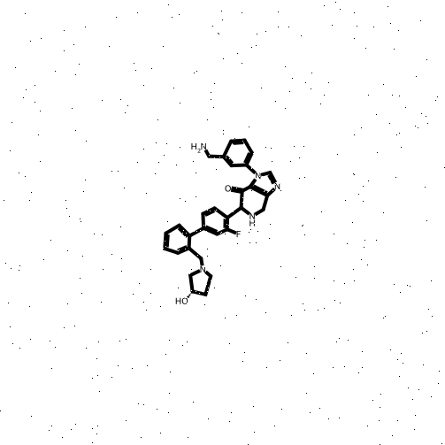 NCc1cccc(-n2cnc3c2C(=O)C(c2ccc(-c4ccccc4CN4CC[C@H](O)C4)cc2F)NC3)c1